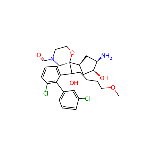 COCCCC[C@@](O)(c1cccc(Cl)c1-c1cccc(Cl)c1)[C@@]1([C@H]2C[C@@H](N)[C@@H](O)C2)CN(C=O)CCO1